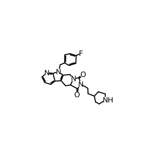 O=C1C2Cc3c(n(Cc4ccc(F)cc4)c4ncccc34)CN2C(=O)N1CCC1CCNCC1